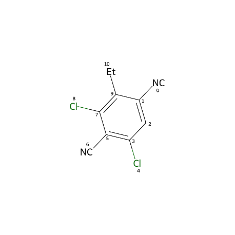 [C-]#[N+]c1cc(Cl)c(C#N)c(Cl)c1CC